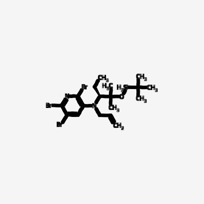 C=CCN(c1cc(Br)c(Br)nc1Br)[C@@H](CC)C(C)(C)O[SiH2]C(C)(C)C